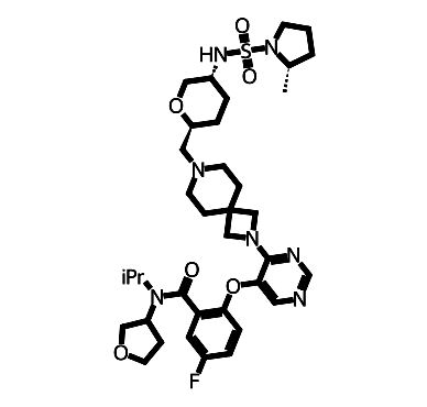 CC(C)N(C(=O)c1cc(F)ccc1Oc1cncnc1N1CC2(CCN(C[C@@H]3CC[C@@H](NS(=O)(=O)N4CCC[C@@H]4C)CO3)CC2)C1)C1CCOC1